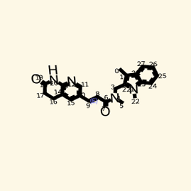 Cc1c(CN(C)C(=O)/C=C/c2cnc3c(c2)CCC(=O)N3)n(C)c2ccccc12